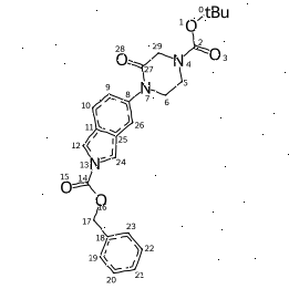 CC(C)(C)OC(=O)N1CCN(c2ccc3cn(C(=O)OCc4ccccc4)cc3c2)C(=O)C1